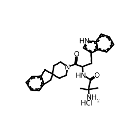 CC(C)(N)C(=O)NC(Cc1c[nH]c2ccccc12)C(=O)N1CCC2(CC1)Cc1ccccc1C2.Cl